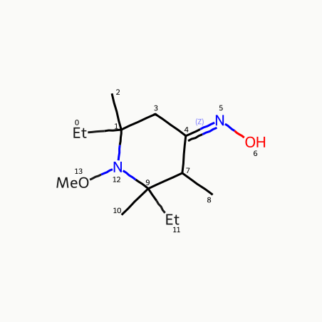 CCC1(C)C/C(=N/O)C(C)C(C)(CC)N1OC